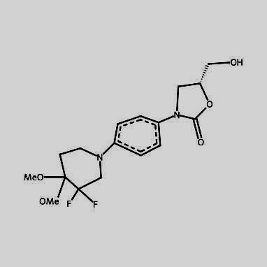 COC1(OC)CCN(c2ccc(N3C[C@H](CO)OC3=O)cc2)CC1(F)F